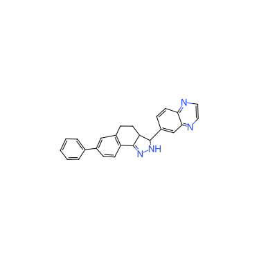 c1ccc(-c2ccc3c(c2)CCC2C3=NNC2c2ccc3nccnc3c2)cc1